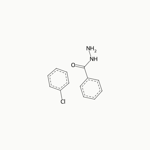 Clc1ccccc1.NNC(=O)c1ccccc1